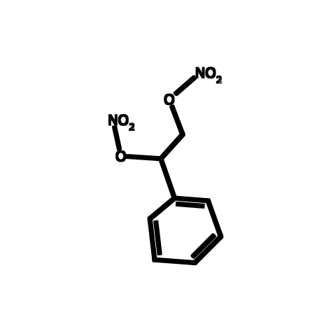 O=[N+]([O-])OCC(O[N+](=O)[O-])c1ccccc1